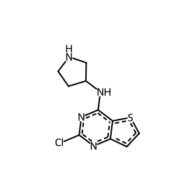 Clc1nc(NC2CCNC2)c2sccc2n1